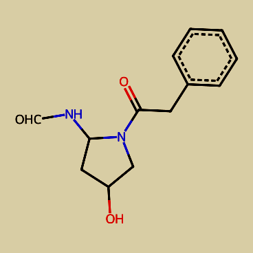 O=CNC1CC(O)CN1C(=O)Cc1ccccc1